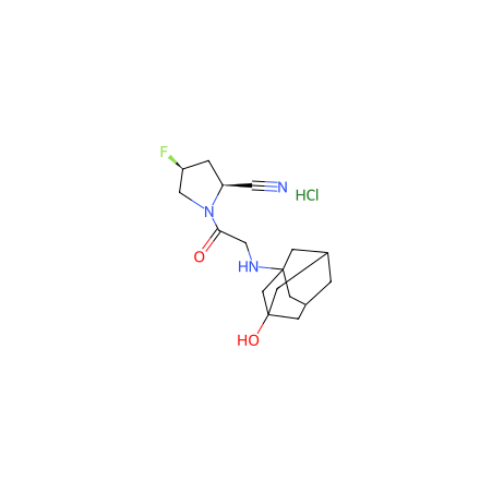 Cl.N#C[C@@H]1C[C@H](F)CN1C(=O)CNC12CC3CC(CC(O)(C3)C1)C2